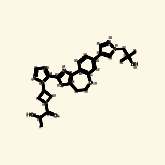 CC(O)C(=O)N1CC(n2ncnc2-c2nc3c(s2)CCOc2cc(-c4cnn(CC(C)(C)O)c4)ccc2-3)C1